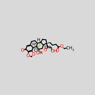 CCOC(=O)CCC[C@]1(C(=O)CO)CC[C@H]2[C@@H]3CCC4=CC(=O)C5=C(OCO5)[C@]4(C)[C@@]3(F)[C@@H](O)C[C@@]21C